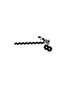 CCCCCCCCCCCCCCCCCCOP(=O)(OCCOCC)Oc1cccc2ccccc12